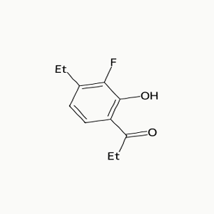 CCC(=O)c1ccc(CC)c(F)c1O